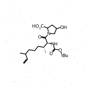 C=CC(C)CCC[C@@H](C)[C@H](NC(=O)OC(C)(C)C)C(=O)N1CC(O)CC1C(=O)O